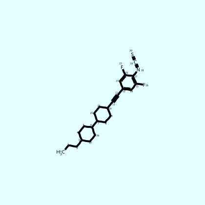 CCCC1CCC(C2CCC(C#Cc3cc(F)c(N=C=S)c(F)c3)CC2)CC1